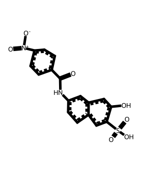 O=C(Nc1ccc2cc(S(=O)(=O)O)c(O)cc2c1)c1ccc([N+](=O)[O-])cc1